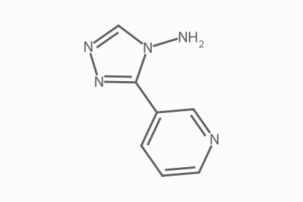 Nn1cnnc1-c1cccnc1